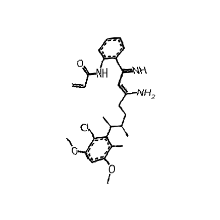 C=CC(=O)Nc1ccccc1C(=N)/C=C(\N)CC[C@@H](C)C(C)c1c(C)c(OC)cc(OC)c1Cl